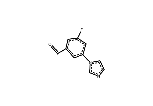 O=[C]c1cc(F)cc(-n2ccnc2)c1